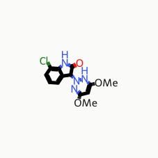 COC1=CC(OC)=NN(C2C(=O)Nc3c(Cl)cccc32)N1